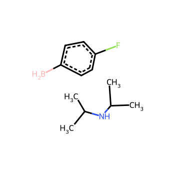 Bc1ccc(F)cc1.CC(C)NC(C)C